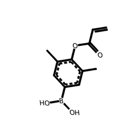 C=CC(=O)Oc1c(C)cc(B(O)O)cc1C